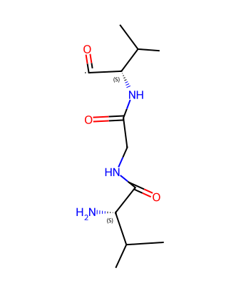 CC(C)[C@H](N)C(=O)NCC(=O)N[C@H]([C]=O)C(C)C